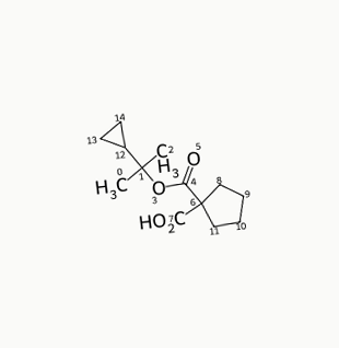 CC(C)(OC(=O)C1(C(=O)O)CCCC1)C1CC1